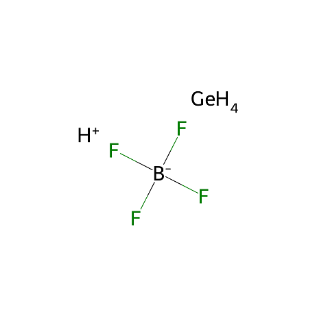 F[B-](F)(F)F.[GeH4].[H+]